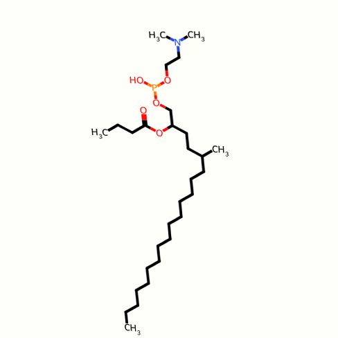 CCCCCCCCCCCCCCCC(C)CCC(COP(O)OCCN(C)C)OC(=O)CCC